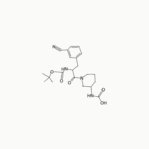 CC(C)(C)OC(=O)NC(Cc1cccc(C#N)c1)C(=O)N1CCCC(NC(=O)O)C1